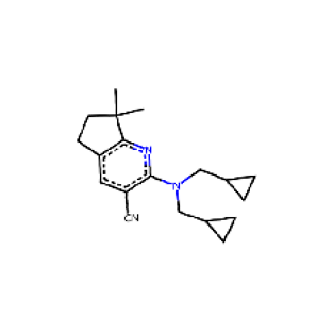 CC1(C)CCc2cc(C#N)c(N(CC3CC3)CC3CC3)nc21